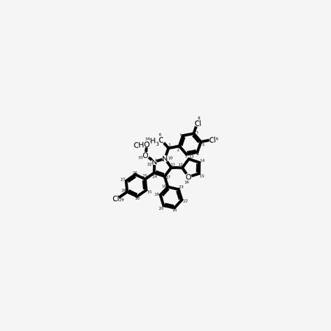 CC(c1ccc(Cl)c(Cl)c1)N1C(C2CC=CO2)C(c2ccccc2)=C(c2ccc(Cl)cc2)N1OC=O